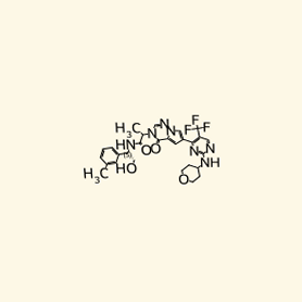 Cc1cccc([C@@H](CO)NC(=O)C(C)n2cnn3cc(-c4nc(NC5CCOCC5)ncc4C(F)(F)F)cc3c2=O)c1